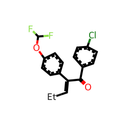 CC/C=C(/C(=O)c1ccc(Cl)cc1)c1ccc(OC(F)F)cc1